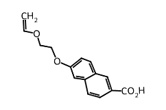 C=COCCOc1ccc2cc(C(=O)O)ccc2c1